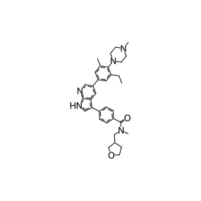 CCc1cc(-c2cnc3[nH]cc(-c4ccc(C(=O)N(C)CC5CCOC5)cc4)c3c2)cc(C)c1N1CCN(C)CC1